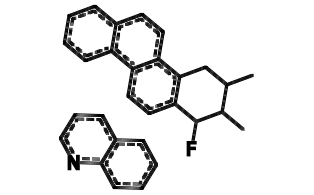 CC1Cc2c(ccc3c2ccc2ccccc23)C(F)C1C.c1ccc2ncccc2c1